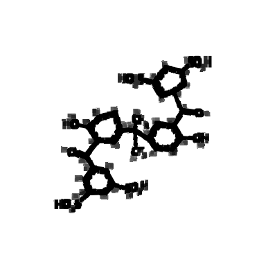 O=C(c1cc(S(=O)(=O)O)cc(S(=O)(=O)O)c1)c1cc(C(c2ccc(O)c(C(=O)c3cc(S(=O)(=O)O)cc(S(=O)(=O)O)c3)c2)(C(F)(F)F)C(F)(F)F)ccc1O